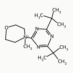 CC(C)(C)c1nc(C(C)(C)C)nc([N+]2(C)CCOCC2)n1